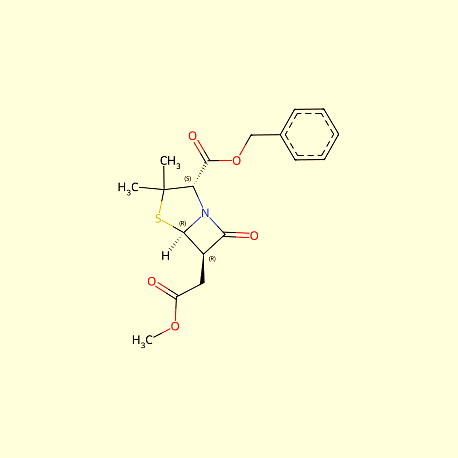 COC(=O)C[C@@H]1C(=O)N2[C@@H]1SC(C)(C)[C@@H]2C(=O)OCc1ccccc1